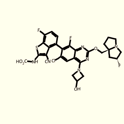 N#Cc1c(NC(=O)O)sc2c(F)ccc(-c3c(Cl)cc4c(N5CC(O)C5)nc(OC[C@@]56CCCN5C[C@H](F)C6)nc4c3F)c12